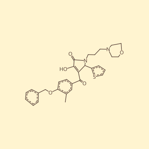 Cc1cc(C(=O)C2=C(O)C(=O)N(CCCN3CCOCC3)C2c2cccs2)ccc1OCc1ccccc1